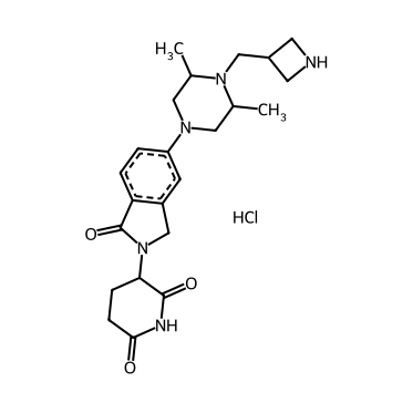 CC1CN(c2ccc3c(c2)CN(C2CCC(=O)NC2=O)C3=O)CC(C)N1CC1CNC1.Cl